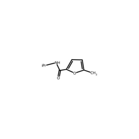 Cc1ccc(C(=O)NC(C)C)o1